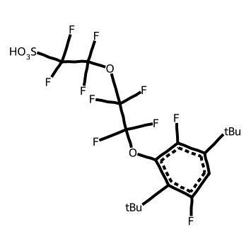 CC(C)(C)c1cc(F)c(C(C)(C)C)c(OC(F)(F)C(F)(F)OC(F)(F)C(F)(F)S(=O)(=O)O)c1F